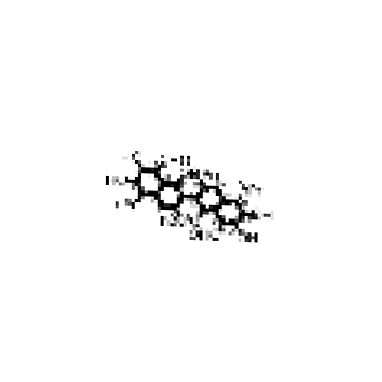 CCCCc1cc2c(CCC)c(O)c(O)c(C=O)c2c(O)c1-c1c(CCCC)cc2c(CCC)c(O)c(O)c(C=O)c2c1O